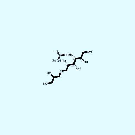 OB(O)O.OCC(O)COC[C@H](O)[C@@H](O)[C@H](O)[C@H](O)CO.[Zn]